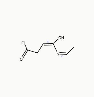 C/C=N\C(O)=C/CC(=O)Cl